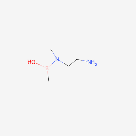 CB(O)N(C)CCN